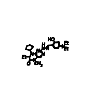 CCC1C(=O)N(C)c2cnc(NN=Cc3ccc(N(CC)CC)cc3O)nc2N1C1CCCC1